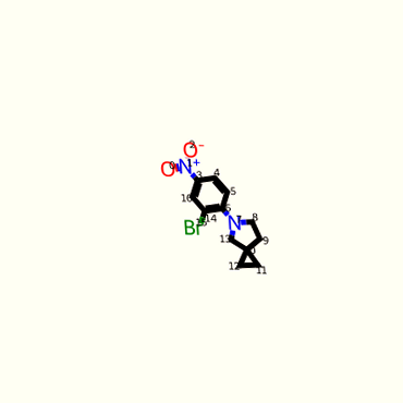 O=[N+]([O-])c1ccc(N2CCC3(CC3)C2)c(Br)c1